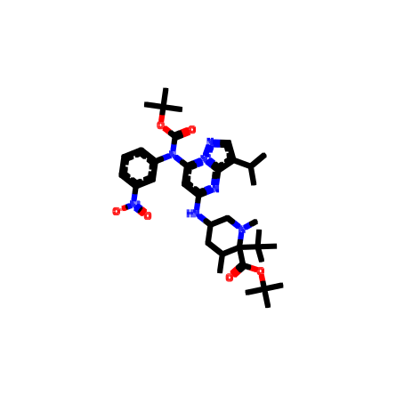 CC(C)c1cnn2c(N(C(=O)OC(C)(C)C)c3cccc([N+](=O)[O-])c3)cc(NC3CC(C)C(C(=O)OC(C)(C)C)(C(C)(C)C)N(C)C3)nc12